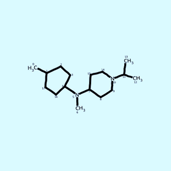 CC1CCC(N(C)C2CCN(C(C)C)CC2)CC1